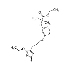 CCOC(=O)C(C)(C)Oc1cccc(OCCCc2c[nH]nc2OCC)c1